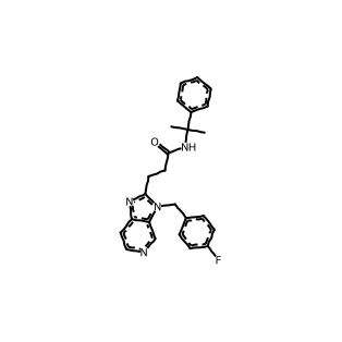 CC(C)(NC(=O)CCc1nc2ccncc2n1Cc1ccc(F)cc1)c1ccccc1